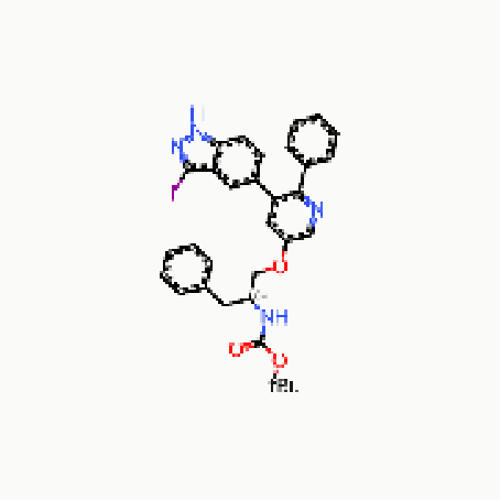 CC(C)(C)OC(=O)N[C@H](COc1cnc(-c2ccccc2)c(-c2ccc3[nH]nc(I)c3c2)c1)Cc1ccccc1